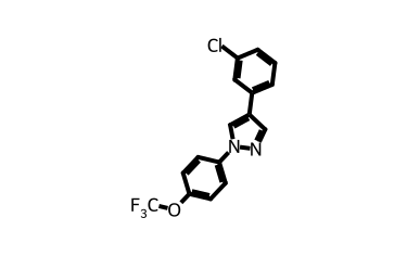 FC(F)(F)Oc1ccc(-n2cc(-c3cccc(Cl)c3)cn2)cc1